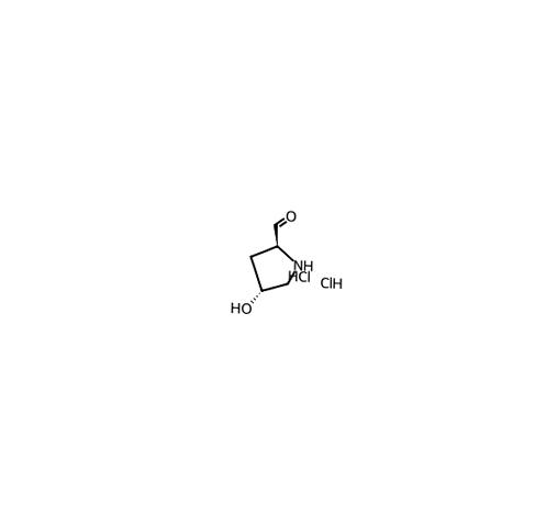 Cl.Cl.O=C[C@@H]1C[C@@H](O)CN1